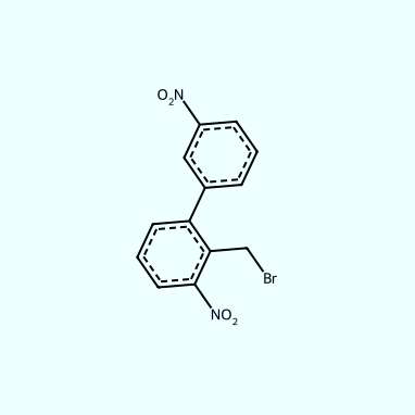 O=[N+]([O-])c1cccc(-c2cccc([N+](=O)[O-])c2CBr)c1